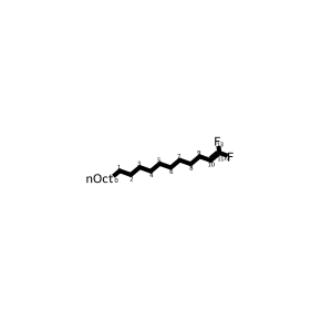 CCCCCCCCCCCCCCCCCC=C(F)F